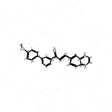 COc1ccc(-c2cccc(C(=O)/C=C/c3ccc4nccnc4c3)c2)cc1